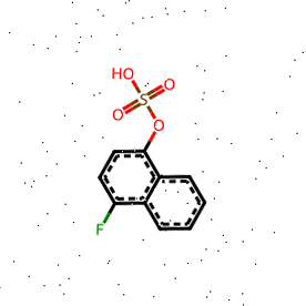 O=S(=O)(O)Oc1ccc(F)c2ccccc12